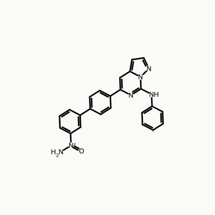 N[N+](=O)c1cccc(-c2ccc(-c3cc4ccnn4c(Nc4cc[c]cc4)n3)cc2)c1